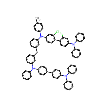 Cc1ccc(N(c2cccc(Cc3cccc(N(c4ccccc4)c4ccc(-c5ccc(N(c6ccccc6)c6ccccc6)cc5)cc4)c3)c2)c2ccc(-c3ccc(N(c4ccccc4)c4ccccc4)cc3Cl)c(Cl)c2)cc1